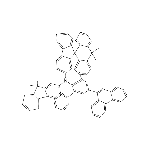 Cc1cc(-c2cc3ccccc3c3ccccc23)cc(-c2ccccc2)c1N(c1ccc2c(c1)C(C)(C)c1ccccc1-2)c1ccc2c(c1)C1(c3ccccc3-2)c2ccccc2C(C)(C)c2ccccc21